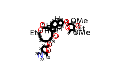 CCOC1C(OC)C(C)OC(O[C@H]2C[C@H]3[C@@H]4C=C5C(=O)[C@H](C)C(OC6CCC(N(C)C)C(C)O6)CCC[C@H](CC)OC(=O)C[C@H]5[C@@H]4C=C[C@@H]3C2)C1OC